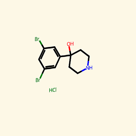 Cl.OC1(c2cc(Br)cc(Br)c2)CCNCC1